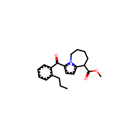 CCCc1ccccc1C(=O)c1ccc2n1CCCCC2C(=O)OC